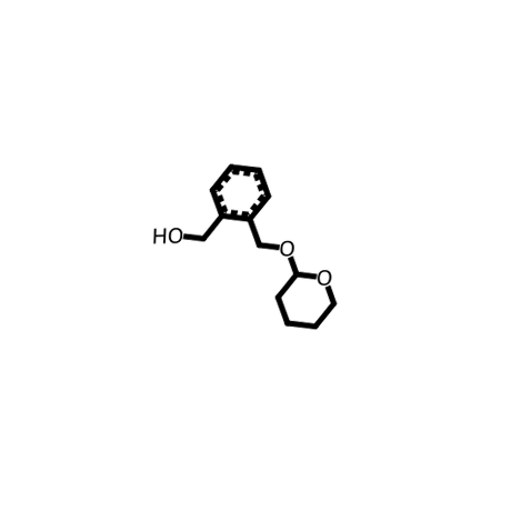 OCc1ccccc1COC1CCCCO1